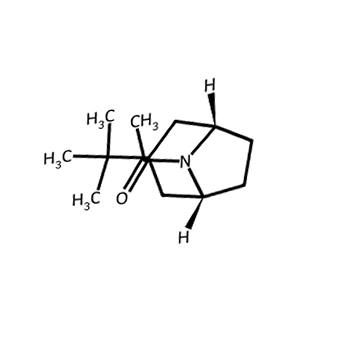 CC(=O)N1[C@@H]2CC[C@H]1CC(C(C)(C)C)C2